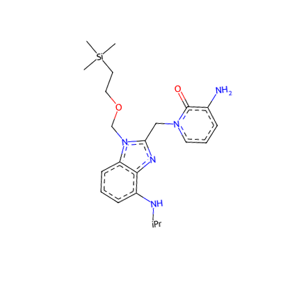 CC(C)Nc1cccc2c1nc(Cn1cccc(N)c1=O)n2COCC[Si](C)(C)C